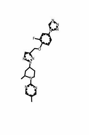 Cc1cnc(N2CCC(n3ncc(COc4ccc(-n5cnnn5)cc4F)n3)CC2C)nc1